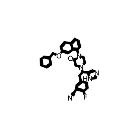 N#Cc1cc(CC(c2cnc[nH]2)N2CCN(c3cccc4ccc(OCc5ccccc5)cc34)C(=O)C2)ccc1F